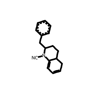 N#CN1C2=CC=CCC2CCC1Cc1ccccc1